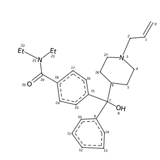 C=CCN1CCC(C(O)(c2ccccc2)c2ccc(C(=O)N(CC)CC)cc2)CC1